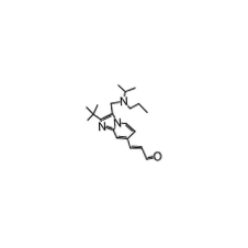 CCCN(Cc1c(C(C)(C)C)nc2cc(/C=C/C=O)ccn12)C(C)C